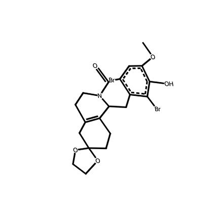 COc1cc(Br)c(CC2C3=C(CCN2C=O)CC2(CC3)OCCO2)c(Br)c1O